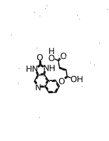 O=C(O)C=CC(=O)O.O=c1[nH]c2cnc3ccccc3c2[nH]1